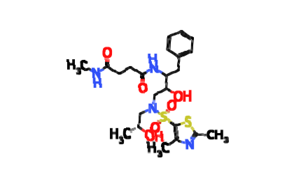 CNC(=O)CCC(=O)NC(Cc1ccccc1)C(O)CN(C[C@@H](C)O)S(=O)(=O)c1sc(C)nc1C